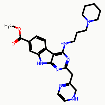 COC(=O)c1ccc2c(c1)[nH]c1nc(CC3=NC=CNC3)nc(NCCCN3CCCCC3)c12